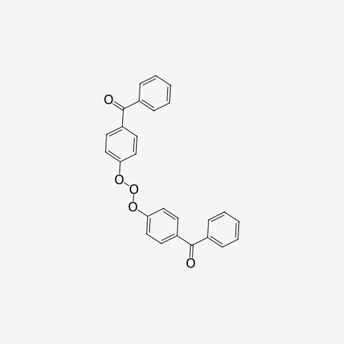 O=C(c1ccccc1)c1ccc(OOOc2ccc(C(=O)c3ccccc3)cc2)cc1